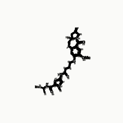 C=C1C[C@H]2C=Nc3cc(OCCCC(=O)Nc4cn(C)c(C(=O)NC(C)OC)n4)c(OC)cc3C(=O)N2C1